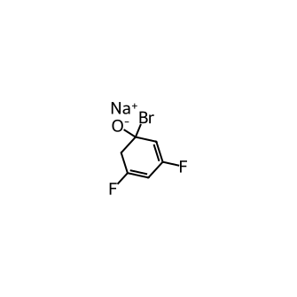 [Na+].[O-]C1(Br)C=C(F)C=C(F)C1